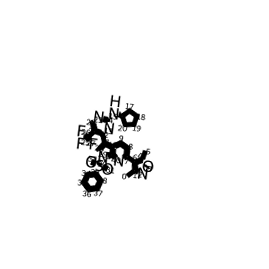 Cc1noc(C)c1-c1ccc2c(-c3nc(NC4CCCC4)ncc3C(F)(F)F)cn(S(=O)(=O)c3ccccc3)c2n1